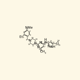 CCc1cc(NC)ccc1CN1CCN(c2nc(C)cc(Nc3cc(C4CC4)[nH]n3)n2)CC1